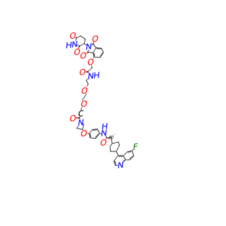 C[C@@H](C(=O)Nc1ccc(OC2CN(C(=O)CCOCCOCCNC(=O)COc3cccc4c3C(=O)N(C3CCC(=O)NC3=O)C4=O)C2)cc1)C1CCC(c2ccnc3ccc(F)cc23)CC1